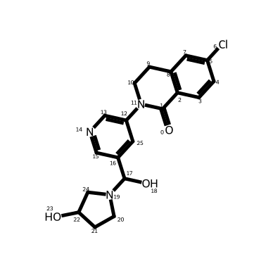 O=C1c2ccc(Cl)cc2CCN1c1cncc(C(O)N2CCC(O)C2)c1